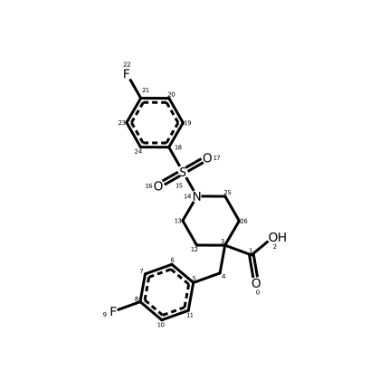 O=C(O)C1(Cc2ccc(F)cc2)CCN(S(=O)(=O)c2ccc(F)cc2)CC1